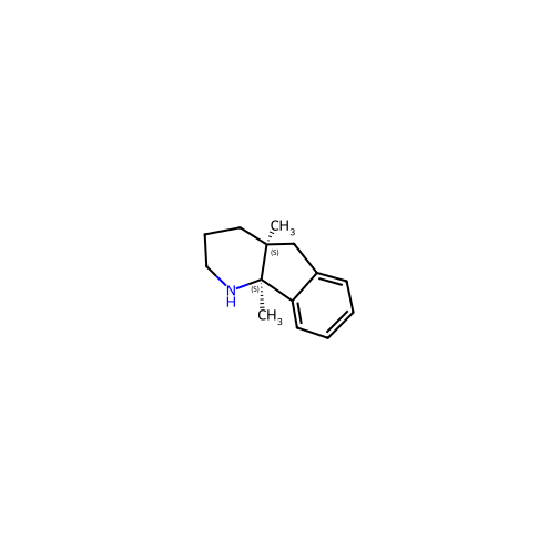 C[C@@]12CCCN[C@]1(C)c1ccccc1C2